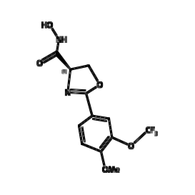 COc1ccc(C2=N[C@@H](C(=O)NO)CO2)cc1OC(F)(F)F